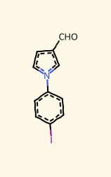 O=Cc1ccn(-c2ccc(I)cc2)c1